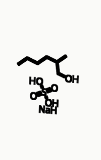 CCCCC(C)CO.O=S(=O)(O)O.[NaH]